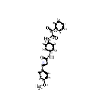 COc1ccc(/C=C/C(=O)Nc2ccc(NC(=O)C(=O)c3ccccc3)cc2)cc1